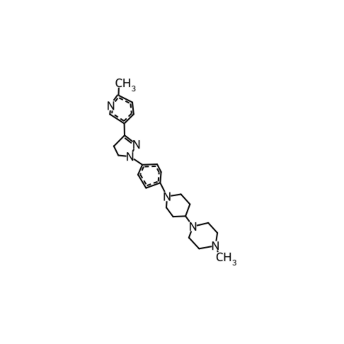 Cc1ccc(C2=NN(c3ccc(N4CCC(N5CCN(C)CC5)CC4)cc3)CC2)cn1